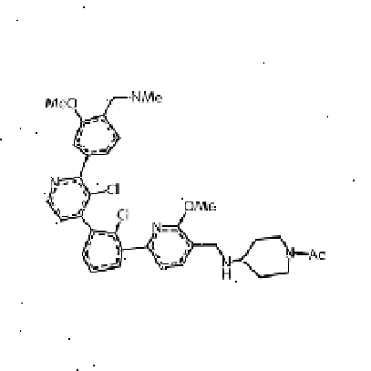 CNCc1ccc(-c2nccc(-c3cccc(-c4ccc(CNC5CCN(C(C)=O)CC5)c(OC)n4)c3Cl)c2Cl)cc1OC